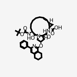 CC(C)(C)OC(=O)N[C@H]1CCCCC/C=C\[C@@H]2C[C@@]2(C(=O)O)NC(=O)[C@@H]2C[C@@H](Oc3nc(-c4ccccc4)cc4c3CCCC4)CN2C1=O